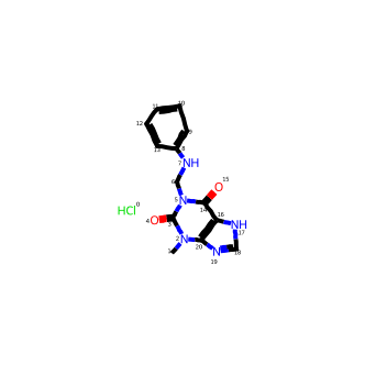 Cl.Cn1c(=O)n(CNc2ccccc2)c(=O)c2[nH]cnc21